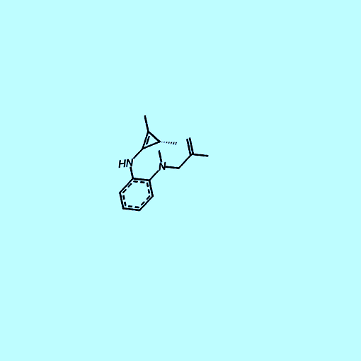 C=C(C)CN(C)c1ccccc1NC1=C(C)[C@@H]1C